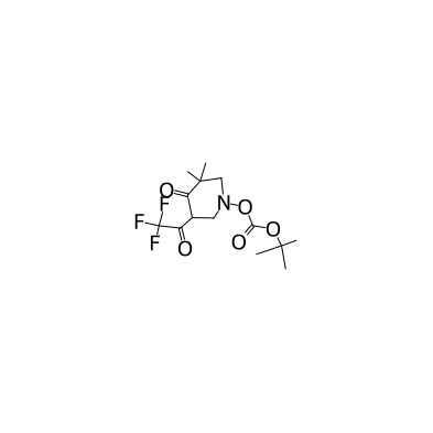 CC(C)(C)OC(=O)ON1CC(C(=O)C(F)(F)F)C(=O)C(C)(C)C1